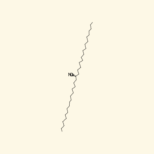 CCCCCCCCCCCCCCCCCC(=O)CCCCCCCCCCCCCCCCC.[Na]